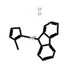 CC1=[C]([Hf+2][CH]2c3ccccc3-c3ccccc32)CC=C1.[Cl-].[Cl-]